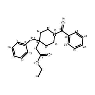 CCOC(=O)CC1(Sc2ccccc2)CCN(C(=O)c2ccccc2)CC1